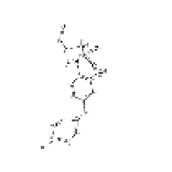 O=CC1CN(c2ccc(Cc3ccc(F)cc3)cc2O)S(=O)(=O)N1